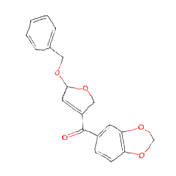 O=C(C1=CC(OCc2ccccc2)OC1)c1ccc2c(c1)OCO2